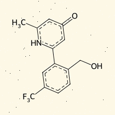 Cc1cc(=O)cc(-c2cc(C(F)(F)F)ccc2CO)[nH]1